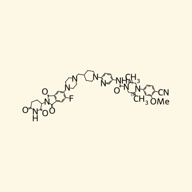 COc1cc(N2C[C@@H](C)N(C(=O)Nc3ccc(N4CCC(CN5CCN(c6cc7c(cc6F)C(=O)N(C6CCC(=O)NC6=O)C7=O)CC5)CC4)nc3)C[C@@H]2C)ccc1C#N